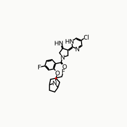 N=C1CN(C(=O)c2ccc(F)cc2OC2CC3CCC(C2)N3CCF)C/C1=C1\N=CC(Cl)=CN1